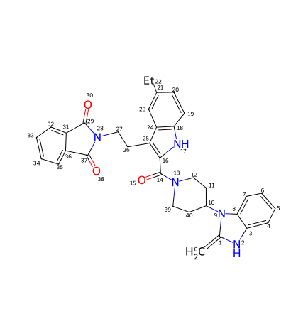 C=C1Nc2ccccc2N1C1CCN(C(=O)c2[nH]c3ccc(CC)cc3c2CCN2C(=O)c3ccccc3C2=O)CC1